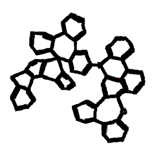 c1ccc(-c2ccccc2N(c2ccc3c(c2)-c2ccccc2-c2ccccc2O3)c2ccc3c(c2)-c2ccccc2-c2ccccc2C32c3ccccc3-c3c2ccc2c3-c3ccccc3C2)cc1